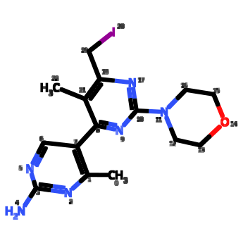 Cc1nc(N)ncc1-c1nc(N2CCOCC2)nc(CI)c1C